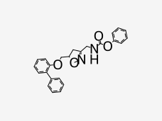 O=C(NCC1=NOC(COc2ccccc2-c2ccccc2)C1)Oc1ccccc1